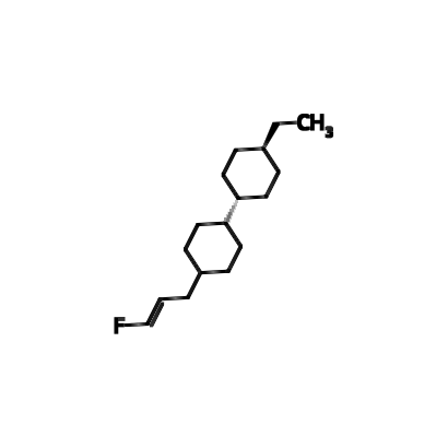 CC[C@H]1CC[C@H](C2CCC(C/C=C/F)CC2)CC1